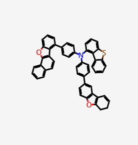 C1=Cc2c(oc3ccc(-c4ccc(N(c5ccc(-c6cccc7oc8c9ccccc9ccc8c67)cc5)c5cccc6sc7ccccc7c56)cc4)cc23)CC1